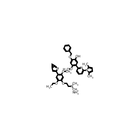 CCOc1cc(-c2cc3cc-3n2)c(OC)cc1OCCN(C)C.COc1cc(OCc2ccccc2)c(O)cc1-c1cccc(-n2c(C)ccc2C)n1.N